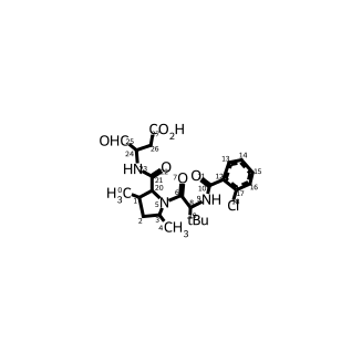 CC1CC(C)N(C(=O)C(NC(=O)c2ccccc2Cl)C(C)(C)C)C1C(=O)NC(C=O)CC(=O)O